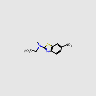 CN(CC(=O)O)c1nc2ccc([N+](=O)[O-])cc2s1